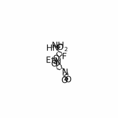 CCS(=O)(=O)N(Cc1ccc(C(=O)NN)cc1F)c1cccc(CN2CCS(=O)(=O)CC2)c1